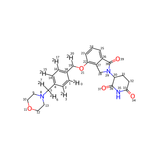 [2H]c1c([2H])c(C([2H])([2H])N2CCOCC2)c([2H])c([2H])c1C([2H])Oc1cccc2c1CN(C1CCC(=O)NC1=O)C2=O